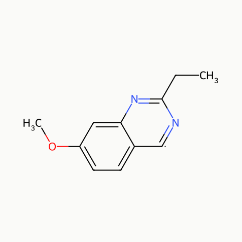 CCc1n[c]c2ccc(OC)cc2n1